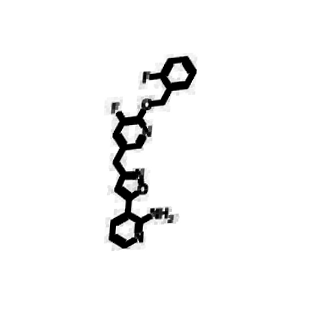 Nc1ncccc1-c1cc(Cc2cnc(OCc3ccccc3F)c(F)c2)no1